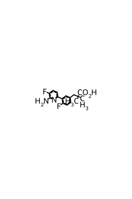 CC(C)(Cc1ccc(F)c(-c2ccc(F)c(N)n2)c1)C(=O)O